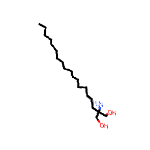 CCCCCCCCCCCCCCCCCC(N)(CO)CO